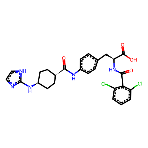 O=C(N[C@@H](Cc1ccc(NC(=O)[C@H]2CC[C@H](Nc3ncc[nH]3)CC2)cc1)C(=O)O)c1c(Cl)cccc1Cl